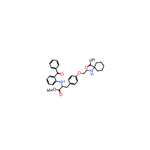 CCCC(=O)C1(NCCOc2ccc(CC(Nc3ccccc3C(=O)c3ccccc3)C(=O)OC)cc2)CCCCC1